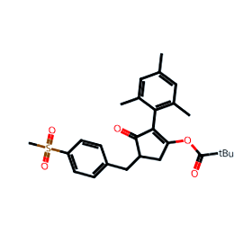 Cc1cc(C)c(C2=C(OC(=O)C(C)(C)C)CC(Cc3ccc(S(C)(=O)=O)cc3)C2=O)c(C)c1